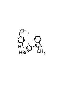 Br.CCc1ccc(Nc2nc(-c3c(C)nc4ccccn34)cs2)cc1